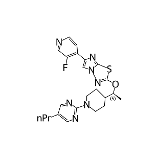 CCCc1cnc(N2CCC([C@H](C)Oc3nn4cc(-c5ccncc5F)nc4s3)CC2)nc1